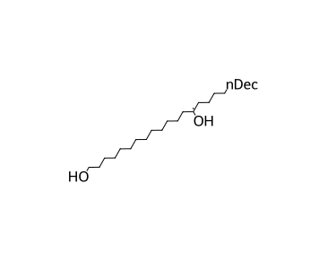 CCCCCCCCCCCCCC[C](O)CCCCCCCCCCCCCO